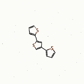 c1csc(-c2csc(-c3cccs3)c2)c1